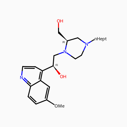 CCCCCCCN1CCN(C[C@@H](O)c2ccnc3ccc(OC)cc23)[C@@H](CO)C1